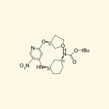 CC(C)(C)OC(=O)N[C@H]1CCC[C@@H](Nc2cc(O[C@H]3CCOC3)ncc2[N+](=O)[O-])C1